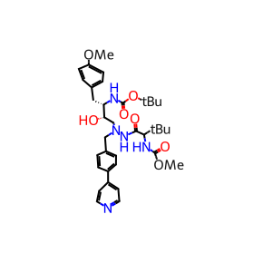 COC(=O)NC(C(=O)NN(Cc1ccc(-c2ccncc2)cc1)C[C@H](O)[C@H](Cc1ccc(OC)cc1)NC(=O)OC(C)(C)C)C(C)(C)C